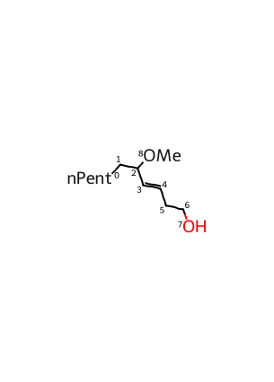 CCCCCCC(C=CCCO)OC